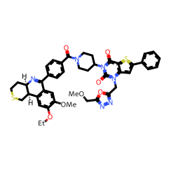 CCOc1cc2c(cc1OC)C(c1ccc(C(=O)N3CCC(n4c(=O)c5sc(-c6ccccc6)cc5n(Cc5nnc(COC)o5)c4=O)CC3)cc1)=N[C@@H]1CCSC[C@H]21